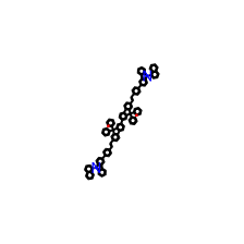 C(=C\c1ccc2c(c1)C(c1ccccc1)(c1ccccc1)c1cc(-c3ccc4c(c3)C(c3ccccc3)(c3ccccc3)c3cc(/C=C/c5ccc(-c6ccc7c(c6)c6ccccc6n7-c6cccc7ccccc67)cc5)ccc3-4)ccc1-2)/c1ccc(-c2ccc3c(c2)c2ccccc2n3-c2cccc3ccccc23)cc1